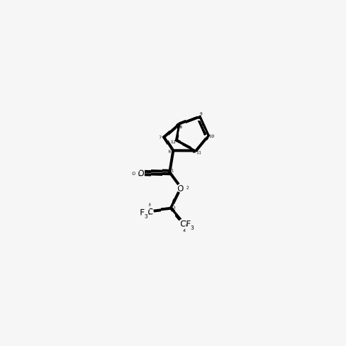 O=C(OC(C(F)(F)F)C(F)(F)F)C1CC2C=CC1C2